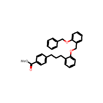 COC(=O)c1ccc(CCCc2ccccc2OCc2ccccc2OCc2ccccc2)cc1